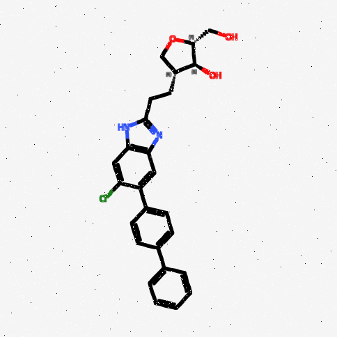 OC[C@H]1OC[C@@H](CCc2nc3cc(-c4ccc(-c5ccccc5)cc4)c(Cl)cc3[nH]2)[C@@H]1O